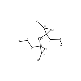 CCCC1(OC2(CCC)CC2C)CC1C